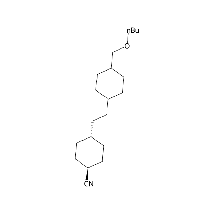 CCCCOCC1CCC(CC[C@H]2CC[C@H](C#N)CC2)CC1